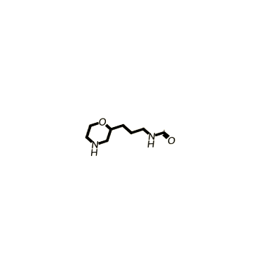 O=[C]NCCCC1CNCCO1